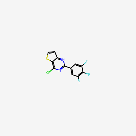 Fc1cc(-c2nc(Cl)c3sccc3n2)cc(F)c1F